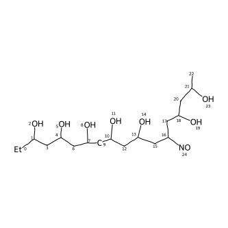 CCC(O)CC(O)CC(O)CC(O)CC(O)CC(CC(O)CC(C)O)N=O